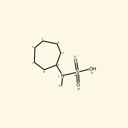 CN(C1CCCCCC1)S(=O)(=O)O